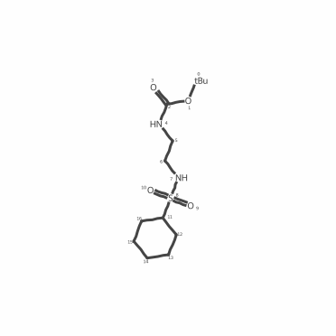 CC(C)(C)OC(=O)NCCNS(=O)(=O)C1CCCCC1